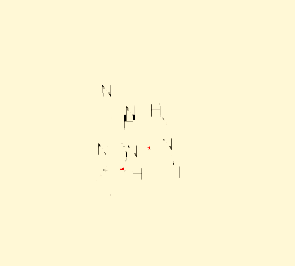 Cc1cnc(-c2nc3ccccc3n2[C@H]2C[C@H]3CCC[C@@H](C2)N3[C@H]2C[C@@H]3CCC[C@@H](C3)C2)cn1